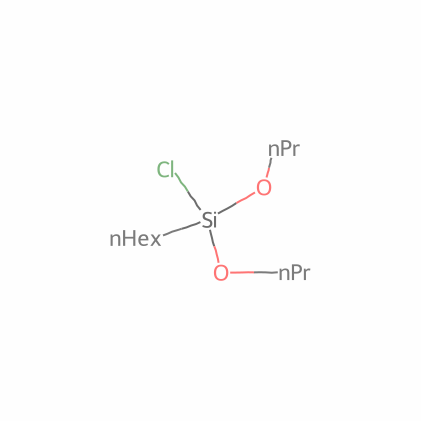 CCCCCC[Si](Cl)(OCCC)OCCC